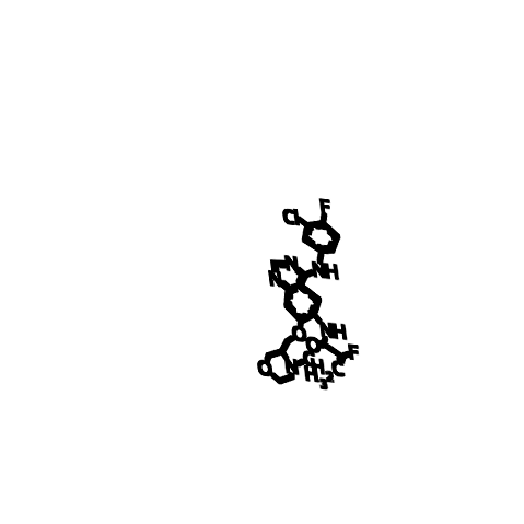 C=C(F)C(=O)Nc1cc2c(Nc3ccc(F)c(Cl)c3)ncnc2cc1OCC1COCCN1C